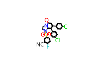 N#Cc1cc(S(=O)(=O)N2CCn3c2c(-c2ccc(Cl)cc2)c(-c2ccc(Cl)cc2)cc3=O)ccc1F